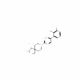 C[C@@H]1OCC2(CCN(c3ncc(-c4cccc(Cl)c4Cl)nn3)CC2)[C@@H]1N